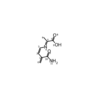 C=C(/C=C\N=C(/C)C(=O)O)C(N)=O